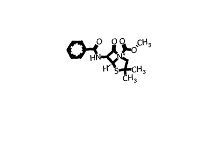 COC(=O)[N+]12CC(C)(C)S[C@H]1C(NC(=O)c1ccccc1)C2=O